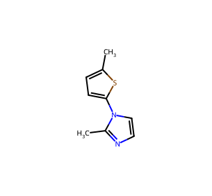 Cc1ccc(-n2ccnc2C)s1